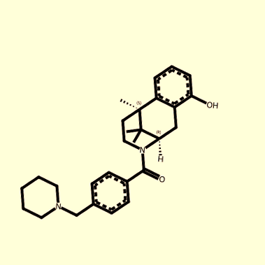 CC1(C)[C@H]2Cc3c(O)cccc3[C@]1(C)CCN2C(=O)c1ccc(CN2CCCCC2)cc1